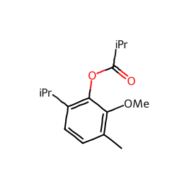 COc1c(C)ccc(C(C)C)c1OC(=O)C(C)C